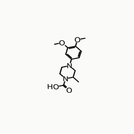 COc1ccc(N2CCN(C(=O)O)C(C)C2)cc1OC